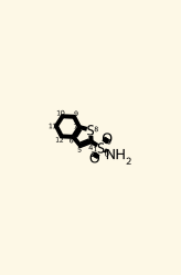 NS(=O)(=O)c1cc2c(s1)CCCC2